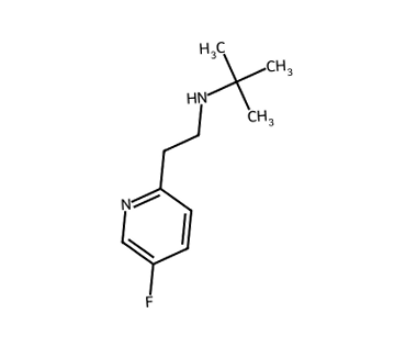 CC(C)(C)NCCc1ccc(F)cn1